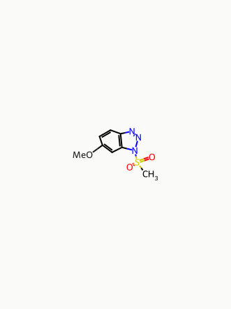 COc1ccc2nnn(S(C)(=O)=O)c2c1